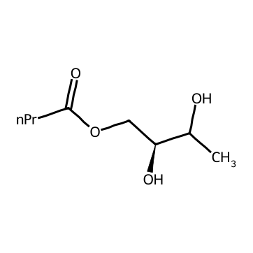 CCCC(=O)OC[C@H](O)C(C)O